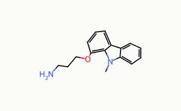 Cn1c2ccccc2c2cccc(OCCCN)c21